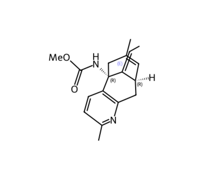 C/C=C1\[C@H]2C=C(C)C[C@]1(NC(=O)OC)c1ccc(C)nc1C2